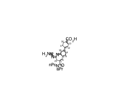 CCCN(CCC)C(=O)C1=Cc2ccc(C3=CC=C(C(=O)O)CC3)cc2N=C(N=NN)C1